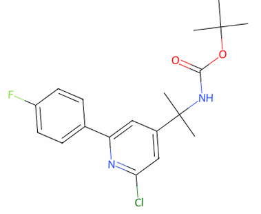 CC(C)(C)OC(=O)NC(C)(C)c1cc(Cl)nc(-c2ccc(F)cc2)c1